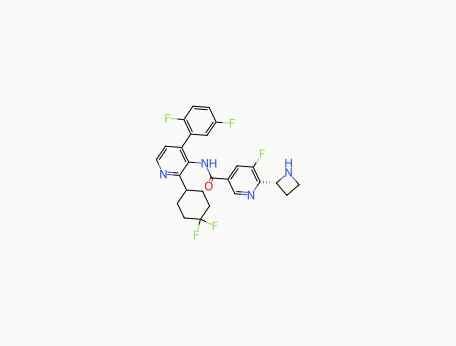 O=C(Nc1c(-c2cc(F)ccc2F)ccnc1C1CCC(F)(F)CC1)c1cnc([C@H]2CCN2)c(F)c1